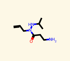 C=CCN(NC(C)C)C(=O)CCN